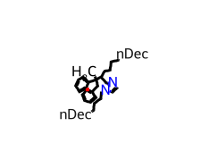 CCCCCCCCCCCCCCC(c1nccn1CCCCCCCCCCCCCC)C(C)(Cc1ccccc1)c1ccccc1